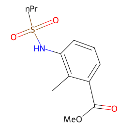 CCCS(=O)(=O)Nc1cccc(C(=O)OC)c1C